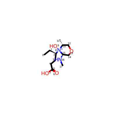 CC[C@H](CCC(=O)O)[N+]1(O)[C@H](C)COC[C@H]1NC